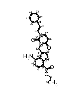 CCOC(=O)c1cnc(N)c2c(Cn3c(=O)ccn(C=Cc4ccccc4)c3=O)csc12